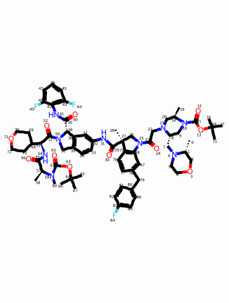 C[C@@H]1COCCN1C[C@H]1CN(C(=O)OC(C)(C)C)[C@H](C)CN1CC(=O)N1C[C@](C)(C(=O)Nc2ccc3c(c2)[C@@H](C(=O)Nc2c(F)cccc2F)N(C(=O)[C@@H](NC(=O)[C@H](C)N(C)C(=O)OC(C)(C)C)C2CCOCC2)C3)c2ccc(Cc3ccc(F)cc3)cc21